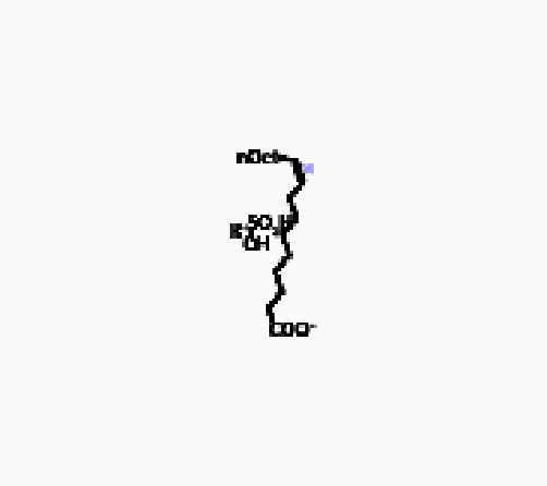 CCCCCCCC/C=C\CCCCCCCC(=O)[O-].O=S(=O)(O)O.[K+]